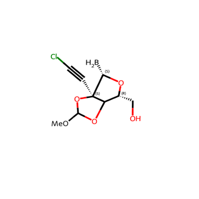 B[C@@H]1O[C@H](CO)C2OC(OC)O[C@]21C#CCl